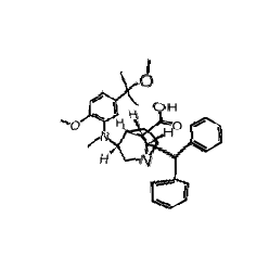 COc1ccc(C(C)(C)OC)cc1N(C)[C@H]1CN2CC[C@H]1[C@H](C(=O)O)[C@@H]2C(c1ccccc1)c1ccccc1